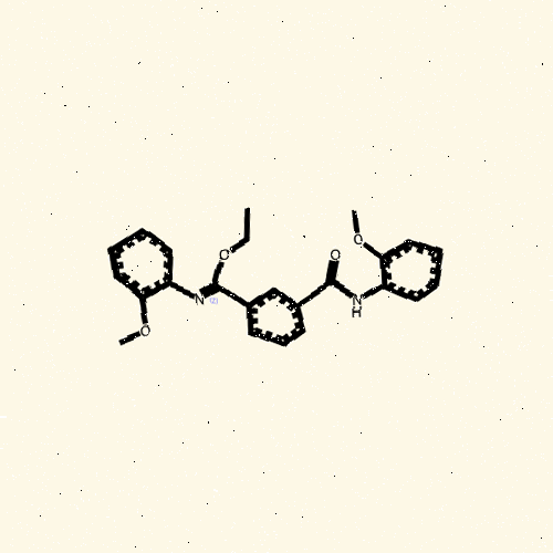 CCO/C(=N\c1ccccc1OC)c1cccc(C(=O)Nc2ccccc2OC)c1